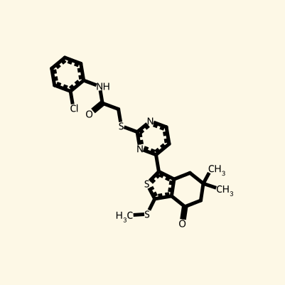 CSc1sc(-c2ccnc(SCC(=O)Nc3ccccc3Cl)n2)c2c1C(=O)CC(C)(C)C2